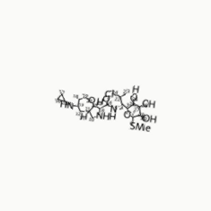 CSC1O[C@H]([C@H](NC(=O)[C@H]2NC[C@@H]3CC(NC4CC4)CCO[C@H]32)[C@H](C)Cl)C(O)C(O)[C@H]1O